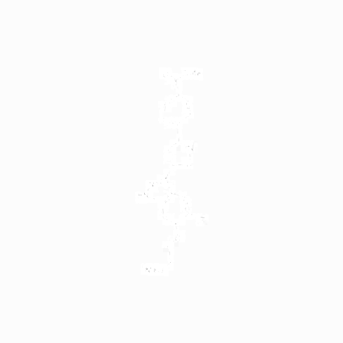 COCCOc1cc2[nH]nc(-c3cc(-c4ccc(C(=O)OC)cc4)no3)c2cc1F